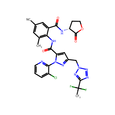 Cc1cc(C#N)cc(C(=O)N[C@@H]2CCOC2=O)c1NC(=O)c1cc(Cn2nnc(C(F)(F)C(F)(F)F)n2)nn1-c1ncccc1Cl